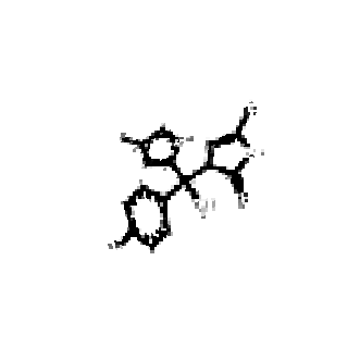 CCC1=CC(C(O)(c2ccc(F)cc2)c2cc(C)cs2)C(=O)O1